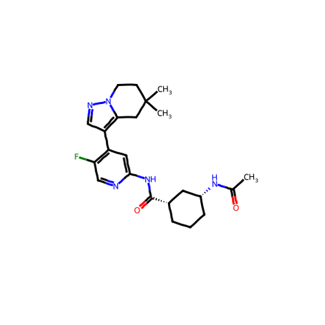 CC(=O)N[C@@H]1CCC[C@H](C(=O)Nc2cc(-c3cnn4c3CC(C)(C)CC4)c(F)cn2)C1